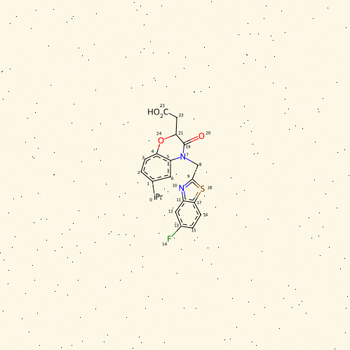 CC(C)c1ccc2c(c1)N(Cc1nc3cc(F)ccc3s1)C(=O)C(CC(=O)O)O2